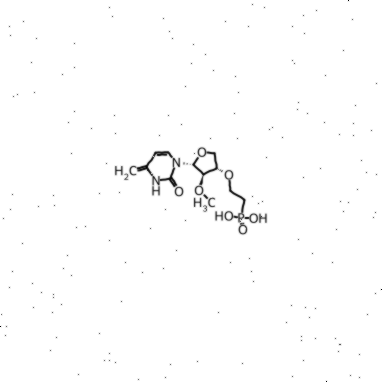 C=C1C=CN([C@@H]2OC[C@H](OCCP(=O)(O)O)[C@H]2OC)C(=O)N1